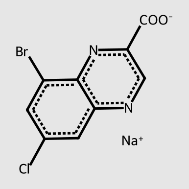 O=C([O-])c1cnc2cc(Cl)cc(Br)c2n1.[Na+]